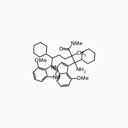 CNC(=O)C(C)(CCC(c1c[nH]c2cccc(OC)c12)C1CCCCC1)C(N)(c1c[nH]c2cccc(OC)c12)C1CCCCC1